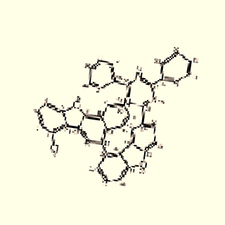 Clc1cccc2oc3c4ccccc4c(-c4cccc5oc6ccc(-c7nc(-c8ccccc8)nc(-c8ccccc8)n7)cc6c45)cc3c12